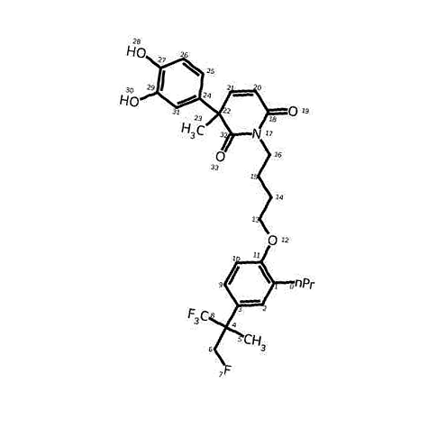 CCCc1cc(C(C)(CF)C(F)(F)F)ccc1OCCCCN1C(=O)C=CC(C)(c2ccc(O)c(O)c2)C1=O